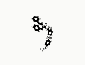 O=C(Oc1noc2c1CN(S(=O)(=O)c1ccc(OC(F)(F)F)cc1)CC2)N(CCc1ccccc1)Cc1ccccc1